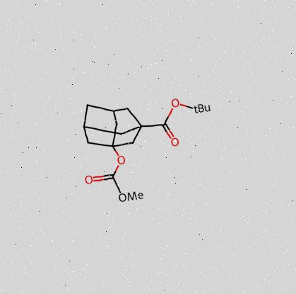 COC(=O)OC12CC3CC(C1)CC(C(=O)OC(C)(C)C)(C3)C2